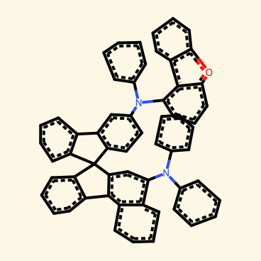 c1ccc(N(c2ccccc2)c2cc3c(c4ccccc24)-c2ccccc2C32c3ccccc3-c3cc(N(c4ccccc4)c4cccc5oc6ccccc6c45)ccc32)cc1